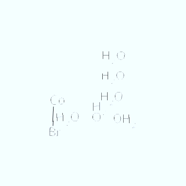 O.O.O.O.O.O.[Co][Br]